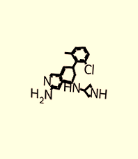 Cc1cccc(Cl)c1C1C=c2cnc(N)cc2=C(NC2CNC2)C1